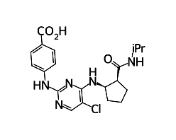 CC(C)NC(=O)[C@H]1CCC[C@H]1Nc1nc(Nc2ccc(C(=O)O)cc2)ncc1Cl